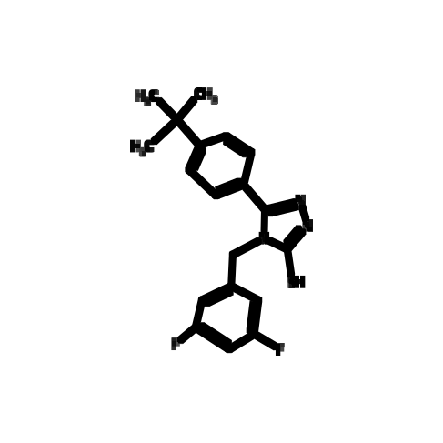 CC(C)(C)c1ccc(-c2nnc(S)n2Cc2cc(F)cc(F)c2)cc1